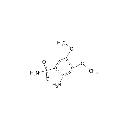 COc1cc(N)c(S(N)(=O)=O)cc1OC